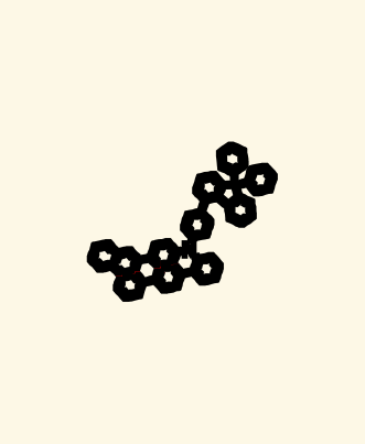 c1ccc(-c2ccc(-c3ccccc3N(c3ccc(-c4ccc5ccccc5c4)cc3)c3ccc(-c4cccc5c4-c4ccccc4C5(c4ccccc4)c4ccccc4)cc3)cc2)cc1